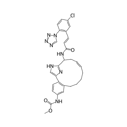 COC(=O)Nc1ccc2c(c1)CCCCC=CCC(NC(=O)C=Cc1cc(Cl)ccc1-n1cnnn1)c1nc-2c[nH]1